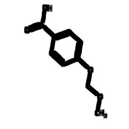 COCOc1ccc(S(=O)O)cc1